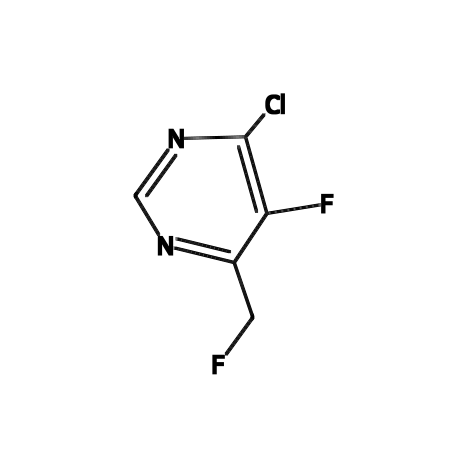 FCc1ncnc(Cl)c1F